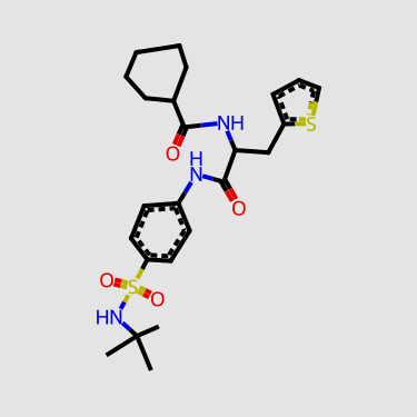 CC(C)(C)NS(=O)(=O)c1ccc(NC(=O)C(Cc2cccs2)NC(=O)C2CCCCC2)cc1